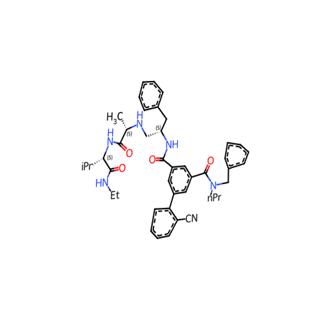 CCCN(Cc1ccccc1)C(=O)c1cc(C(=O)N[C@H](CN[C@@H](C)C(=O)N[C@H](C(=O)NCC)C(C)C)Cc2ccccc2)cc(-c2ccccc2C#N)c1